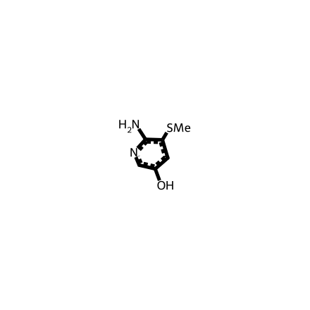 CSc1cc(O)cnc1N